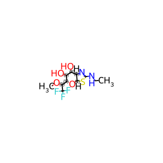 CCNC1=N[C@@H]2[C@@H](O)[C@H](O)[C@@H]([C@@H](OC)C(F)(F)F)O[C@@H]2S1